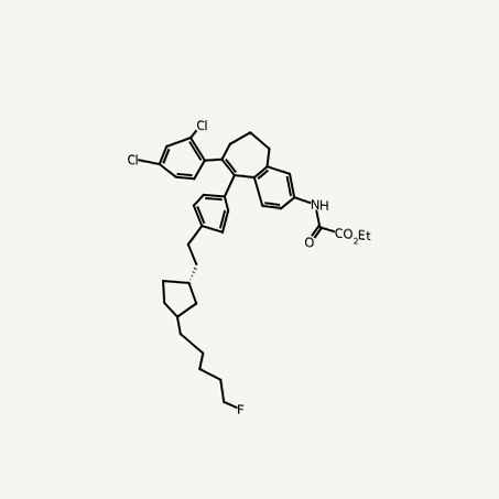 CCOC(=O)C(=O)Nc1ccc2c(c1)CCCC(c1ccc(Cl)cc1Cl)=C2c1ccc(CC[C@H]2CCC(CCCCCF)C2)cc1